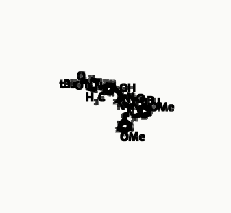 CCCCOc1nc(N(Cc2ccc(OC)cc2)Cc2ccc(OC)cc2)c2ncc(C(O)c3ccc(N4CCN(C(=O)OC(C)(C)C)CC4)c(C)c3)n2n1